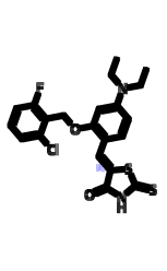 CCN(CC)c1ccc(/C=C2\SC(=S)NC2=O)c(OCc2c(F)cccc2Cl)c1